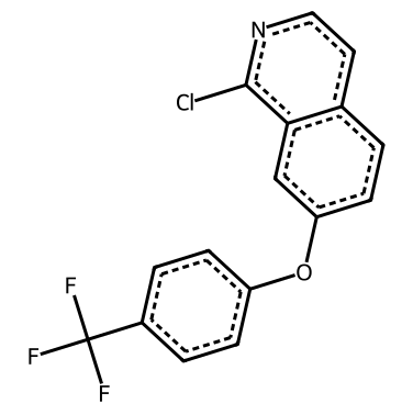 FC(F)(F)c1ccc(Oc2ccc3ccnc(Cl)c3c2)cc1